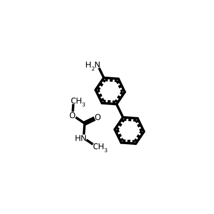 CNC(=O)OC.Nc1ccc(-c2ccccc2)cc1